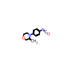 C=C1COCCN1c1ccc(N=C=O)cc1